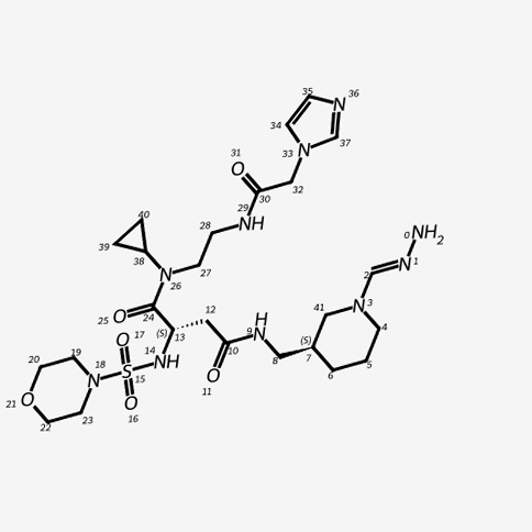 NN=CN1CCC[C@@H](CNC(=O)C[C@H](NS(=O)(=O)N2CCOCC2)C(=O)N(CCNC(=O)Cn2ccnc2)C2CC2)C1